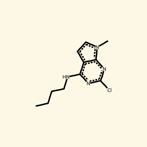 CCCCNc1nc(Cl)nc2c1ccn2C